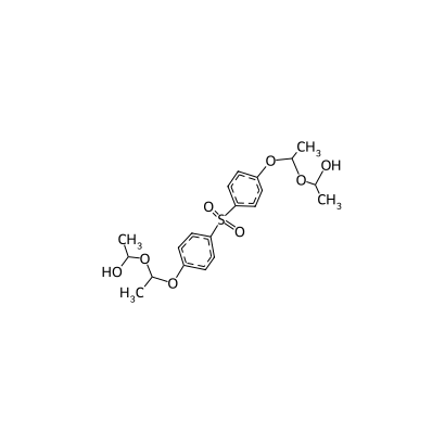 CC(O)OC(C)Oc1ccc(S(=O)(=O)c2ccc(OC(C)OC(C)O)cc2)cc1